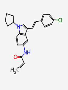 C=CC(=O)Nc1ccc2c(c1)c(/C=C/c1ccc(Cl)cc1)cn2C1CCCC1